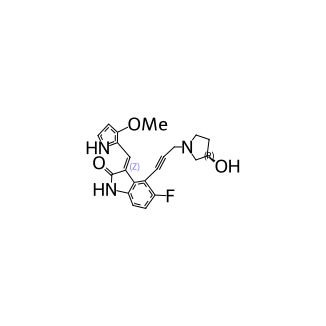 COc1cc[nH]c1/C=C1\C(=O)Nc2ccc(F)c(C#CCN3CC[C@@H](O)C3)c21